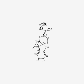 CC(C)(C)OC(=O)N1CCC2(CC1)Cc1ccccc1C21CC1